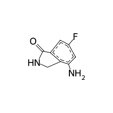 Nc1cc(F)cc2c1CNC2=O